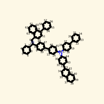 C(=C(\c1ccccc1)c1ccc(-c2ccc(N(c3ccc(-c4ccccc4)cc3)c3ccc(-c4ccc5ccccc5c4)cc3)cc2)cc1)/c1ccc(-c2ccccc2)c2ccccc12